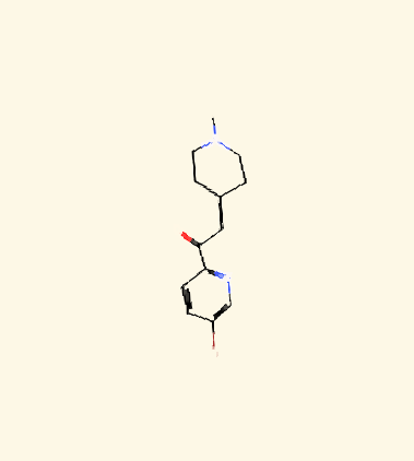 O=C(CC1CCN(C(=O)O)CC1)c1ccc(Br)cn1